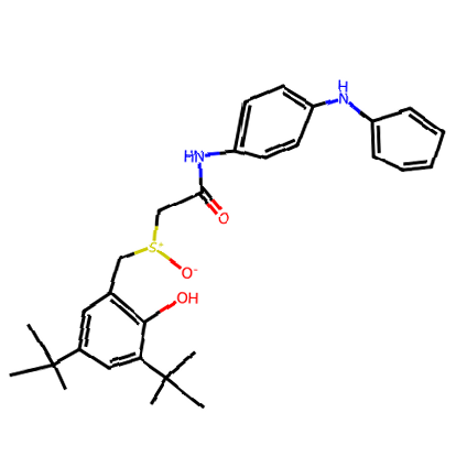 CC(C)(C)c1cc(C[S+]([O-])CC(=O)Nc2ccc(Nc3ccccc3)cc2)c(O)c(C(C)(C)C)c1